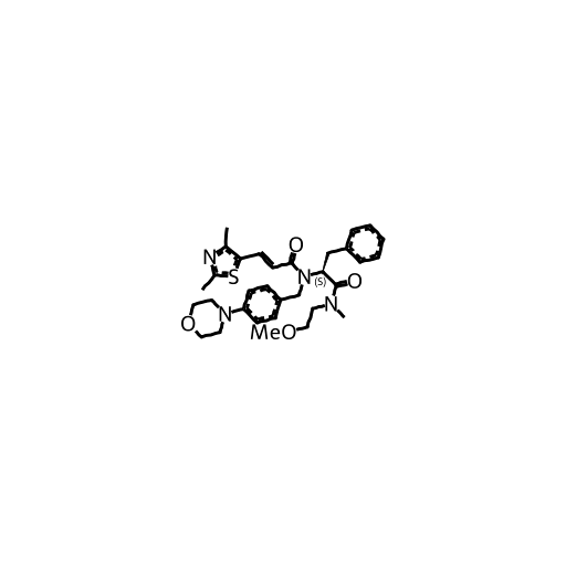 COCCN(C)C(=O)[C@H](Cc1ccccc1)N(Cc1ccc(N2CCOCC2)cc1)C(=O)C=Cc1sc(C)nc1C